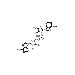 CCCC1C(COP(=O)(O)OC2C(O)C(O)OC2n2cnc3c(N)ncnc32)OC(n2cnc3c(N)ncnc32)C1F